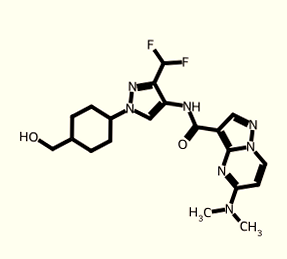 CN(C)c1ccn2ncc(C(=O)Nc3cn(C4CCC(CO)CC4)nc3C(F)F)c2n1